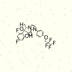 C[C@@H](n1ccn(-c2ccc(OCC(F)(F)C(F)F)cc2)c1=O)[C@@](O)(CO)c1ccc(F)cc1F